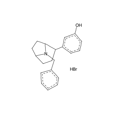 Br.Oc1cccc(C2CCC3CCC2N3Cc2ccccc2)c1